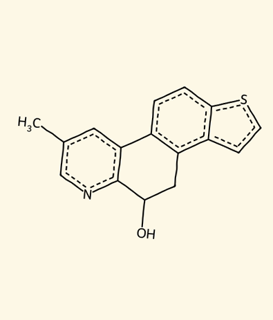 Cc1cnc2c(c1)-c1ccc3sccc3c1CC2O